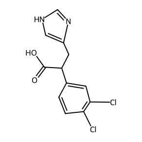 O=C(O)C(Cc1c[nH]cn1)c1ccc(Cl)c(Cl)c1